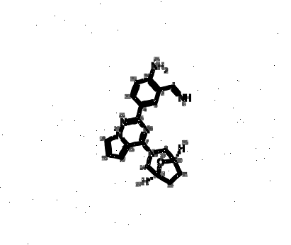 N=Cc1cc(-c2nc(N3C[C@H]4CC[C@@H](C3)O4)c3cccn3n2)ccc1N